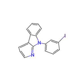 Ic1cccc(-n2c3ccccc3c3cccnc32)c1